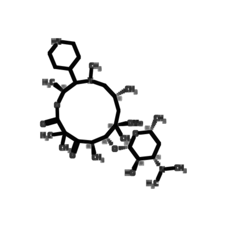 CO[C@]1(C)C[C@@H](C)CN(C)C(C2CCNCC2)[C@H](C)OC(=O)C(C)(C)C(=O)[C@H](C)[C@H]1O[C@@H]1O[C@H](C)C[C@H](N(C)C)[C@H]1O